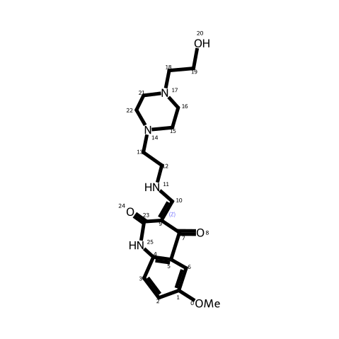 COc1ccc2c(c1)C(=O)/C(=C/NCCN1CCN(CCO)CC1)C(=O)N2